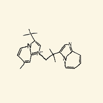 Cc1ccn2c(C(C)(C)C)c[n+](CC(C)(C)c3cnc4ccccn34)c2c1